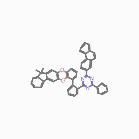 CC1(C)c2ccccc2-c2cc3c(cc21)Oc1cccc(-c2ccccc2-c2nc(-c4ccccc4)nc(-c4ccc5c(ccc6ccccc65)c4)n2)c1O3